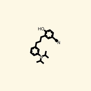 CC(C)N(c1cccc(CCCc2cc(C#N)ccc2O)c1)C(C)C